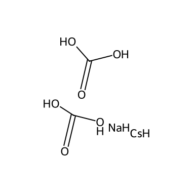 O=C(O)O.O=C(O)O.[CsH].[NaH]